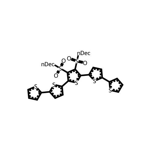 CCCCCCCCCCS(=O)(=O)c1c(-c2ccc(-c3cccs3)s2)sc(-c2ccc(-c3cccs3)s2)c1S(=O)(=O)CCCCCCCCCC